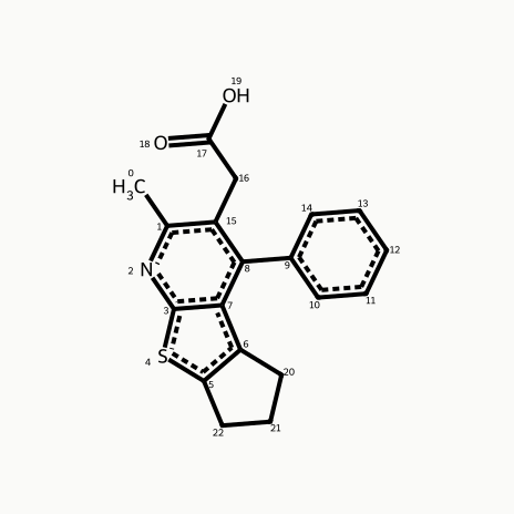 Cc1nc2sc3c(c2c(-c2ccccc2)c1CC(=O)O)CCC3